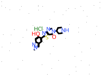 Cl.Cn1cc2cc(-c3nc4ncn(C5CCNCC5)c(=O)c4s3)c(O)cc2n1